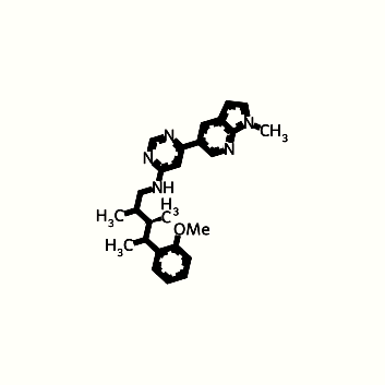 COc1ccccc1C(C)[C@H](C)C(C)CNc1cc(-c2cnc3c(ccn3C)c2)ncn1